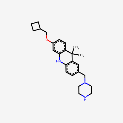 CC1(C)c2ccc(OCC3CCC3)cc2Nc2ccc(CN3CCNCC3)cc21